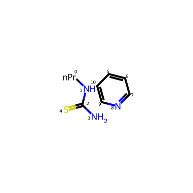 CCCNC(N)=S.c1ccncc1